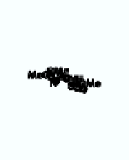 COc1cc2nccc(Oc3ccc(NC(=O)COc4ccccc4OC)cc3)c2cc1OC